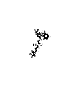 O=C(COC1=CC(C(F)(F)F)NN1c1ccccc1Cl)NCCCn1ccnc1